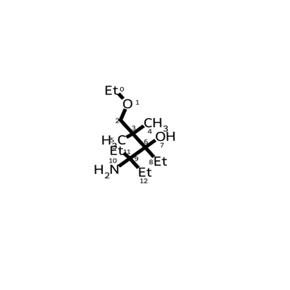 CCOCC(C)(C)C(O)(CC)C(N)(CC)CC